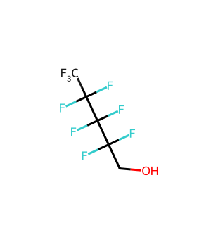 OCC(F)(F)C(F)(F)C(F)(F)C(F)(F)F